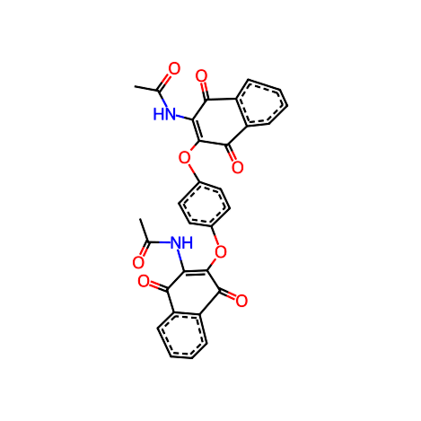 CC(=O)NC1=C(Oc2ccc(OC3=C(NC(C)=O)C(=O)c4ccccc4C3=O)cc2)C(=O)c2ccccc2C1=O